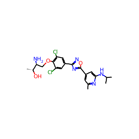 Cc1cc(-c2nc(-c3cc(Cl)c(OC[C@H](N)[C@@H](C)O)c(Cl)c3)no2)cc(NC(C)C)n1